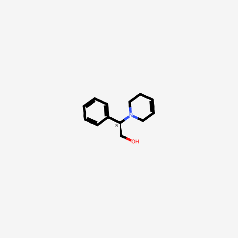 OC[C@@H](c1ccccc1)N1CC=CCC1